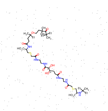 CCC(C)(CC)NC(CSCC(=O)NCCNC(=O)CC[C@@H](O)[C@H](O)C(=O)NCCNC(=O)CSCC(NC(=O)CCC(C)(CC)OCCC(C)(C)C(=O)C(C)(CC)CC)C(=O)O)C(=O)O